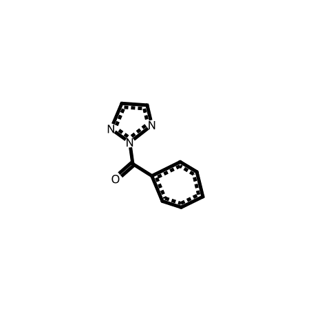 O=C(c1ccccc1)n1nccn1